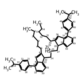 CCCCCCC1=Cc2c(-c3ccc(C(C)C)cc3)cccc2C1C[SiH]([Zr])CC1C(CCCCCC)=Cc2c(-c3ccc(C(C)C)cc3)cccc21